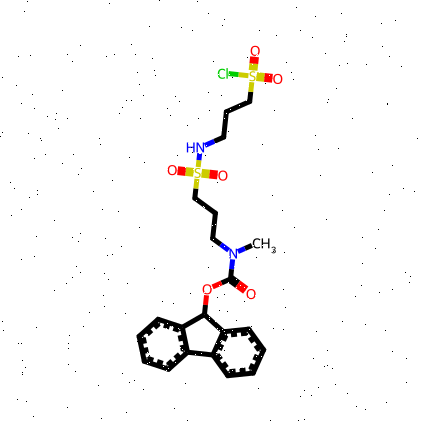 CN(CCCS(=O)(=O)NCCCS(=O)(=O)Cl)C(=O)OC1c2ccccc2-c2ccccc21